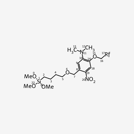 CO[Si](CCCCOCc1cc(N(C)C)c(O[CH2][Rf])cc1[N+](=O)[O-])(OC)OC